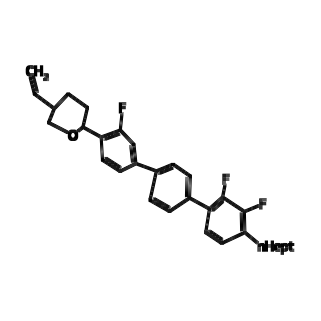 C=CC1CCC(c2ccc(-c3ccc(-c4ccc(CCCCCCC)c(F)c4F)cc3)cc2F)OC1